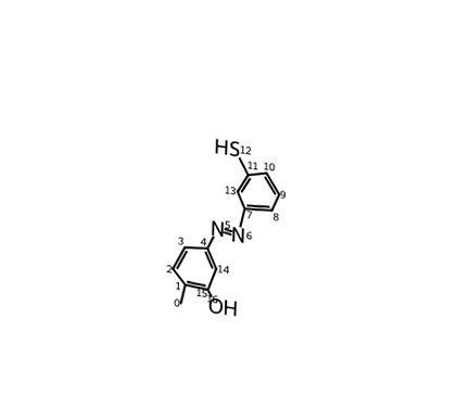 Cc1ccc(N=Nc2cccc(S)c2)cc1O